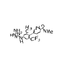 CNC(=O)c1ccc(-c2c(C)cc(Nc3n[nH]c(N)n3)cc2C(F)(F)F)cn1